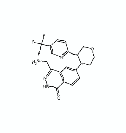 NCc1n[nH]c(=O)c2ccc(N3CCOCC3c3ccc(C(F)(F)F)cn3)cc12